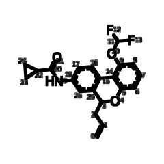 C=CCC1Oc2cccc(OC(F)F)c2-c2ccc(NC(=O)C3CC3)cc21